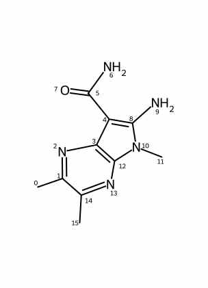 Cc1nc2c(C(N)=O)c(N)n(C)c2nc1C